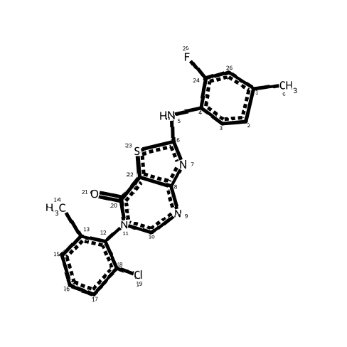 Cc1ccc(Nc2nc3ncn(-c4c(C)cccc4Cl)c(=O)c3s2)c(F)c1